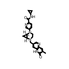 Cc1cc2ncc(CN3CCN(c4ccc(C(=O)NC5CC5)nc4)[C@@H]4C[C@@H]43)cc2[nH]c1=O